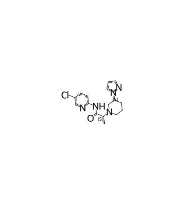 C[C@@H](C(=O)Nc1ccc(Cl)cn1)N1CCC[C@H](n2cccn2)C1